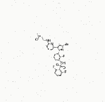 CC(C)c1nc(-c2cccc(NS(=O)(=O)c3c(F)cccc3F)c2F)c(-c2ccnc(NCC[S+](C)[O-])n2)s1